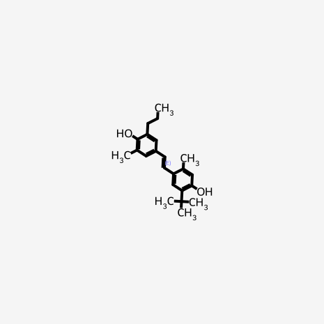 CCCc1cc(/C=C/c2cc(C(C)(C)C)c(O)cc2C)cc(C)c1O